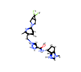 Cc1nc(N2CC3C(C2)C3(F)F)ccc1Cn1cc(C(=O)N[C@@H]2CCc3c2ncn3C)nn1